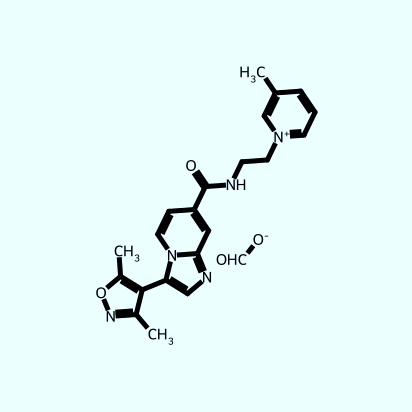 Cc1ccc[n+](CCNC(=O)c2ccn3c(-c4c(C)noc4C)cnc3c2)c1.O=C[O-]